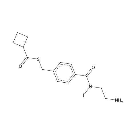 NCCN(I)C(=O)c1ccc(CSC(=O)C2CCC2)cc1